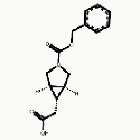 O=C(O)C[C@@H]1[C@H]2CN(C(=O)OCc3ccccc3)C[C@@H]12